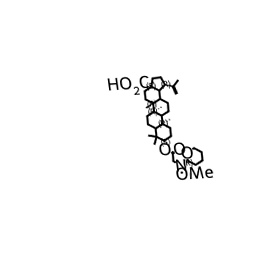 C=C(C)[C@@H]1CC[C@]2(C(=O)O)CC[C@]3(C)C(CCC4[C@@]5(C)CC[C@H](OC(=O)CN(OC)[C@H]6CCCCO6)C(C)(C)C5CC[C@]43C)C12